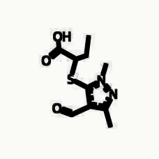 CCC(Sc1c(C=O)c(C)nn1C)C(=O)O